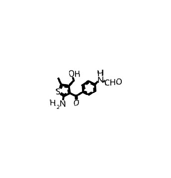 Cc1sc(N)c(C(=O)c2ccc(NC=O)cc2)c1CO